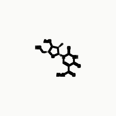 CNC(=O)c1cn([C@@H]2O[C@H](CO)C(OC(C)=O)[C@@H]2C)c(=O)[nH]c1=O